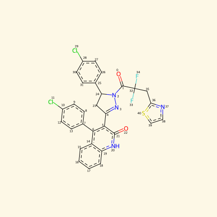 O=C(N1N=C(c2c(-c3ccc(Cl)cc3)c3ccccc3[nH]c2=O)CC1c1ccc(Cl)cc1)C(F)(F)Cc1nccs1